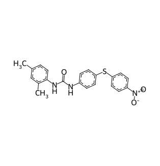 Cc1ccc(NC(=O)Nc2ccc(Sc3ccc([N+](=O)[O-])cc3)cc2)c(C)c1